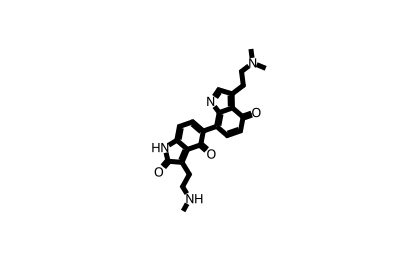 CNCCC1=C2C(=O)C(C3=C4N=CC(CCN(C)C)=C4C(=O)C=C3)=CC=C2NC1=O